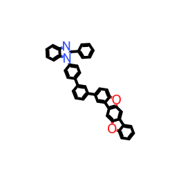 c1ccc(-c2nc3ccccc3n2-c2ccc(-c3cccc(-c4ccc5oc6cc7c(cc6c5c4)oc4ccccc47)c3)cc2)cc1